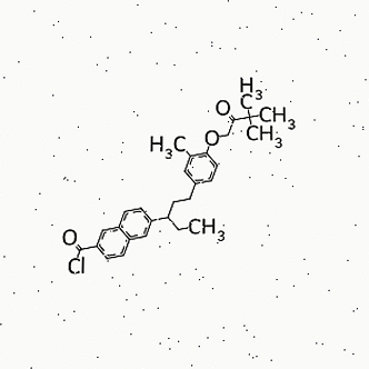 CCC(CCc1ccc(OCC(=O)C(C)(C)C)c(C)c1)c1ccc2cc(C(=O)Cl)ccc2c1